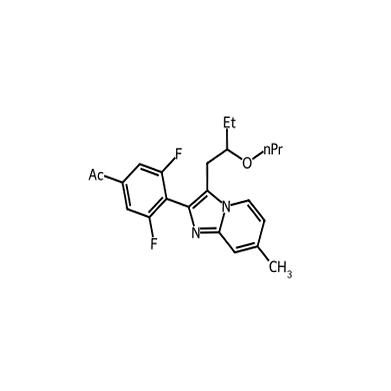 CCCOC(CC)Cc1c(-c2c(F)cc(C(C)=O)cc2F)nc2cc(C)ccn12